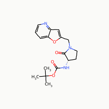 CC(C)(C)OC(=O)N[C@H]1CCN(Cc2cc3ncccc3o2)C1=O